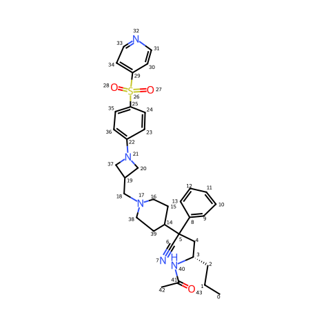 CCC[C@@H](CC(C#N)(c1ccccc1)C1CCN(CC2CN(c3ccc(S(=O)(=O)c4ccncc4)cc3)C2)CC1)NC(C)=O